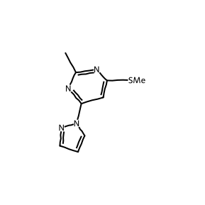 CSc1cc(-n2cccn2)nc(C)n1